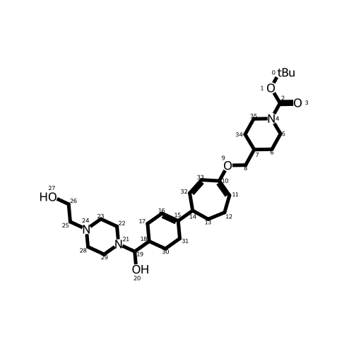 CC(C)(C)OC(=O)N1CCC(COC2=CCCC(C3=CCC(C(O)N4CCN(CCO)CC4)CC3)C=C2)CC1